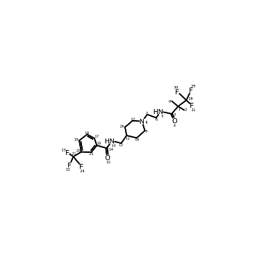 CC(C)(C(=O)NCCN1CCC(CNC(=O)c2cccc(C(F)(F)F)c2)CC1)C(F)(F)F